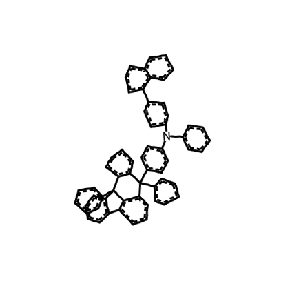 c1ccc(N(c2ccc(-c3cccc4ccccc34)cc2)c2ccc(C3(c4ccccc4)c4ccccc4C4(c5ccccc5)c5ccccc5-c5cccc3c54)cc2)cc1